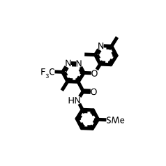 CSc1cccc(NC(=O)c2c(Oc3ccc(C)nc3C)nnc(C(F)(F)F)c2C)c1